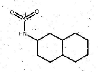 O=[SH](=O)NC1CCC2CCCCC2C1